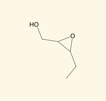 CCC1OC1CO